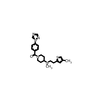 Cc1csc(CCN(C)C2CCN(C(=O)c3ccc(-n4cncn4)cc3)CC2)c1